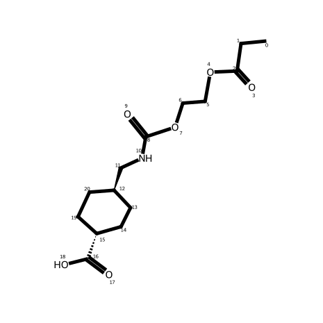 CCC(=O)OCCOC(=O)NC[C@H]1CC[C@H](C(=O)O)CC1